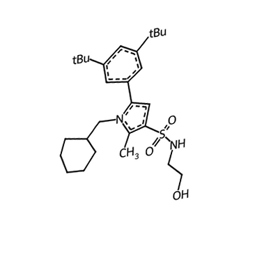 Cc1c(S(=O)(=O)NCCO)cc(-c2cc(C(C)(C)C)cc(C(C)(C)C)c2)n1CC1CCCCC1